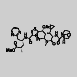 COC(=O)[C@@H](C)C[C@H](Cc1ncccn1)NC(=O)c1csc([C@@H](C[C@H](C(C)C)N(C)C(=O)[C@@H](NC(=O)[C@H]2CC3CCN2CC3)[C@@H](C)C2CC2)OC(C)=O)n1